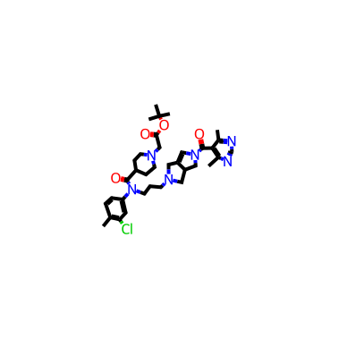 Cc1ccc(N(CCCN2CC3=CN(C(=O)c4c(C)ncnc4C)CC3C2)C(=O)C2CCN(CC(=O)OC(C)(C)C)CC2)cc1Cl